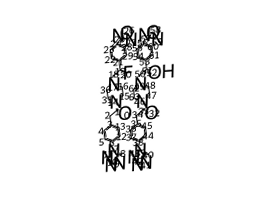 O=C(Cc1ccc(-n2cnnn2)cc1)N1CCN(CC(F)c2ccc3nonc3c2)CC1.O=C(Cc1ccc(-n2cnnn2)cc1)N1CCN(CC(O)c2ccc3nonc3c2)CC1